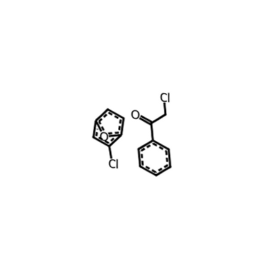 Clc1cc2ccc1o2.O=C(CCl)c1ccccc1